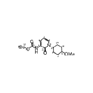 CO[C@H]1CC[C@H](n2cccc(NC(=O)OC(C)(C)C)c2=O)CC1